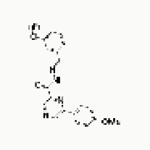 CCCOc1cccc(C=NNC(=O)c2cncc(-c3ccc(OC)cc3)n2)c1